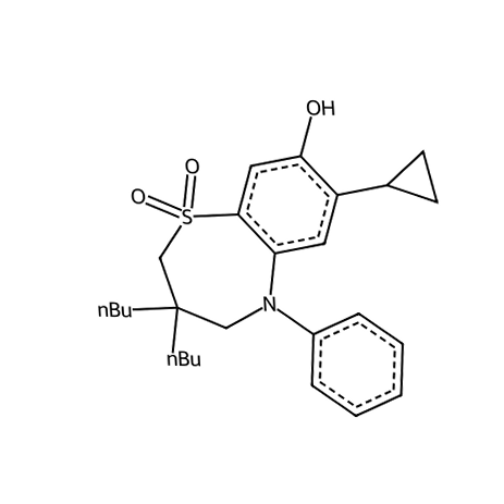 CCCCC1(CCCC)CN(c2ccccc2)c2cc(C3CC3)c(O)cc2S(=O)(=O)C1